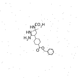 CC(C)(CC(C(=N)N)C1CCC(C(=O)OCc2ccccc2)CC1)NC(=O)O